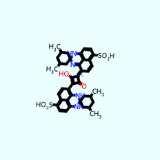 CC1CC(C)CC2(C1)N=c1/c(=C3/C(=O)C(c4ccc5c(S(=O)(=O)O)ccc6c5c4NC4(CC(C)CC(C)C4)N6)=C3O)ccc3c(S(=O)(=O)O)ccc(c13)N2